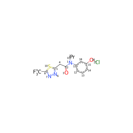 CC(C)N(C(=O)Cc1nnc(C(F)(F)F)s1)c1cccc(OCl)c1